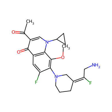 COc1c(N2CCC/C(=C(\F)CN)C2)c(F)cc2c(=O)c(C(C)=O)cn(C3CC3)c12